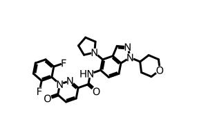 O=C(Nc1ccc2c(cnn2C2CCOCC2)c1N1CCCC1)c1ccc(=O)n(-c2c(F)cccc2F)n1